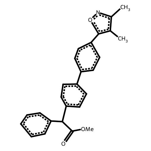 COC(=O)C(c1ccccc1)c1ccc(-c2ccc(-c3onc(C)c3C)cc2)cc1